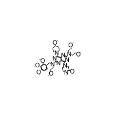 COCCN(CCOC)c1nc(N2CCN(C)C(=O)C2)c2nc(N(CCOC)Cc3ccc(OC)c(OC)c3OC)nc(N3CCC(OC)CC3)c2n1